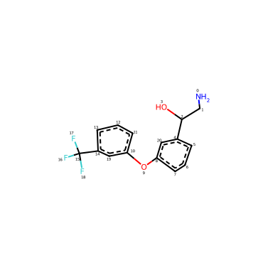 NCC(O)c1cccc(Oc2cccc(C(F)(F)F)c2)c1